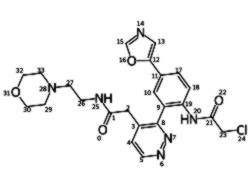 O=C(Cc1ccnnc1-c1cc(-c2cnco2)ccc1NC(=O)CCl)NCCN1CCOCC1